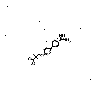 COC(=O)C(C)(C)COc1ccc(-c2ccc(C(=N)N)cc2)cn1